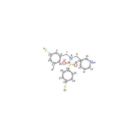 Cc1cc(F)cc(CN(Cc2cccnc2)S(=O)(=O)c2ccc(F)cc2)c1